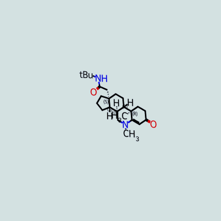 CN1C[C@H]2[C@@H]3CCC[C@@]3(CC(=O)NC(C)(C)C)CC[C@@H]2[C@@]2(C)CCC(=O)C=C12